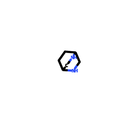 C1CC2CNC1CN2